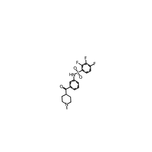 CN1CCC(C(=O)c2cccc(NS(=O)(=O)c3ccc(F)c(F)c3F)c2)CC1